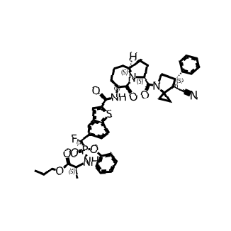 CCCOC(=O)[C@H](C)NP(=O)(Oc1ccccc1)[C@H](F)c1ccc2sc(C(=O)N[C@H]3CCC[C@H]4CC[C@@H](C(=O)N5C[C@H](c6ccccc6)[C@@H](C#N)C56CC6)N4C3=O)cc2c1